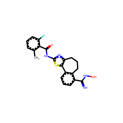 Cc1cccc(F)c1C(=O)Nc1nc2c(s1)-c1cccc(C(=N)NO)c1CCC2